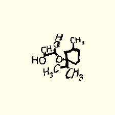 CC1CCCC(OC(O)C(C)O)(C(C)C)C1